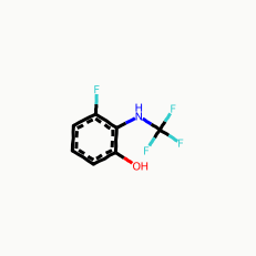 Oc1cccc(F)c1NC(F)(F)F